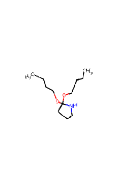 CCCCOC1(OCCCC)CCCN1